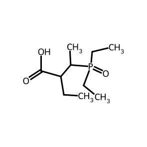 CCC(C(=O)O)C(C)P(=O)(CC)CC